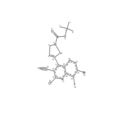 CC(C)(C)OC(=O)N1CC=C(c2c(C#N)c(Cl)nc3c(F)c(Br)ccc23)C1